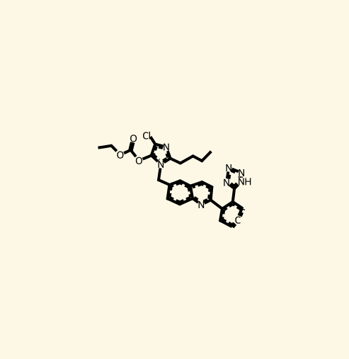 CCCCc1nc(Cl)c(OC(=O)OCC)n1Cc1ccc2nc(-c3ccccc3-c3nnn[nH]3)ccc2c1